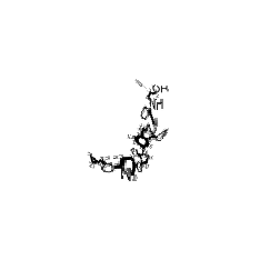 C[C@H](CO)CNC(=O)CN1Cc2ccc(N3CC[C@@H](Oc4ccc(OCC5CC5)nc4)C3=O)cc2C1=O